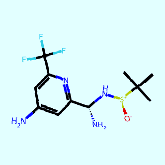 CC(C)(C)[S@@+]([O-])N[C@H](N)c1cc(N)cc(C(F)(F)F)n1